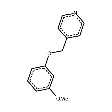 COc1cccc(OCc2ccncc2)c1